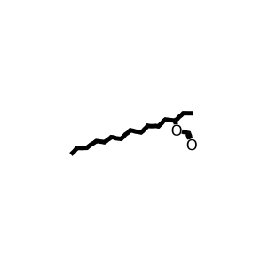 CCCCCCCCCCCCC(CC)OC=O